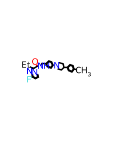 CCc1nc2c(F)cccn2c1C(=O)NCc1ccc(N2CCC(c3ccc(C)cc3)CC2)cc1